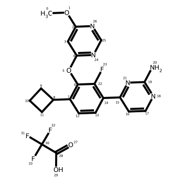 COc1cc(Oc2c(C3CCC3)ccc(-c3ccnc(N)n3)c2F)ncn1.O=C(O)C(F)(F)F